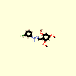 COc1cc(OC)c(C=NNc2cccc(Cl)c2)c(OC)c1